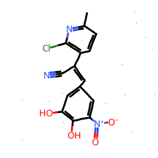 Cc1ccc(/C(C#N)=C/c2cc(O)c(O)c([N+](=O)[O-])c2)c(Cl)n1